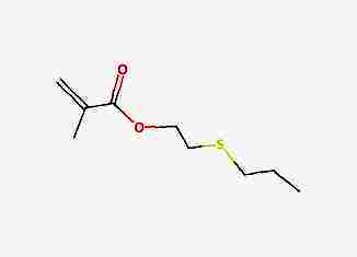 C=C(C)C(=O)OCCSCCC